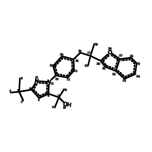 CC(C)(C)c1cc(C(C)(C)O)n(-c2ccc(CC(C)(C)c3cc4ccccc4o3)cc2)n1